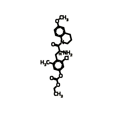 CCOC(=O)Oc1cc(C)c(C[C@H](N)C(=O)N2CCCc3cc(OC)ccc32)c(Cl)c1